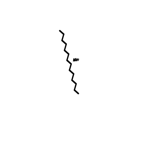 CCCCCCCCCCCCCC.[Mn]